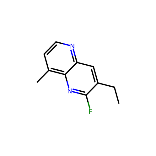 CCc1cc2nccc(C)c2nc1F